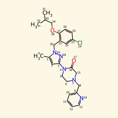 Cc1cc(N2CCN(Cc3ccccn3)CC2=O)nn1Cc1cc(Cl)ccc1OCC(C)C